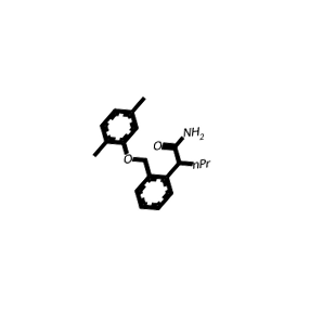 CCCC(C(N)=O)c1ccccc1COc1cc(C)ccc1C